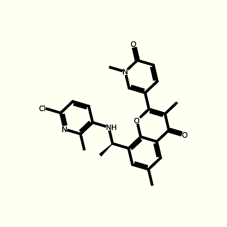 Cc1cc([C@@H](C)Nc2ccc(Cl)nc2C)c2oc(-c3ccc(=O)n(C)c3)c(C)c(=O)c2c1